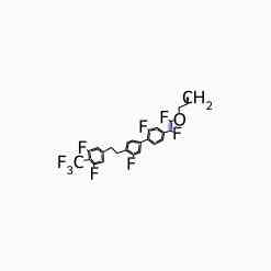 C=CCO/C(F)=C(\F)c1ccc(-c2ccc(CCc3cc(F)c(C(F)(F)F)c(F)c3)c(F)c2)c(F)c1